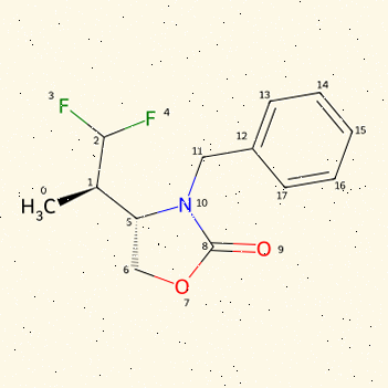 C[C@@H](C(F)F)[C@H]1COC(=O)N1Cc1ccccc1